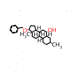 C[C@H]1CC[C@@H]2[C@H]3CC[C@]4(C)[C@@H](OCc5ccccc5)CC[C@H]4[C@@H]3C[C@H](O)[C@H]2C1